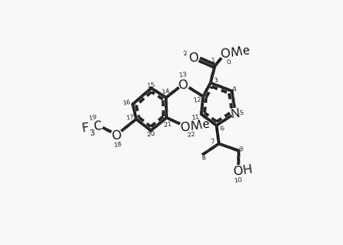 COC(=O)c1cnc(C(C)CO)cc1Oc1ccc(OC(F)(F)F)cc1OC